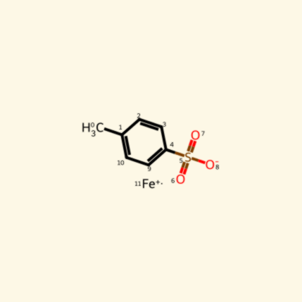 Cc1ccc(S(=O)(=O)[O-])cc1.[Fe+]